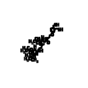 CC(C)(C)OC(=O)/N=C(/NCCCC[C@H](NC(=O)OC(C)(C)C)C(=O)NCCOc1ccc(CS)c(CS)c1)NC(=O)OC(C)(C)C